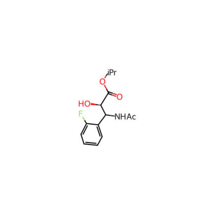 CC(=O)NC(c1ccccc1F)[C@@H](O)C(=O)OC(C)C